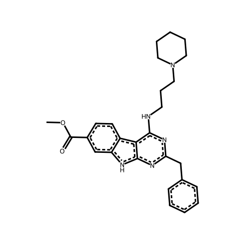 COC(=O)c1ccc2c(c1)[nH]c1nc(Cc3ccccc3)nc(NCCCN3CCCCC3)c12